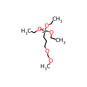 CCO[Si](CCCOCOC)(OCC)OCC